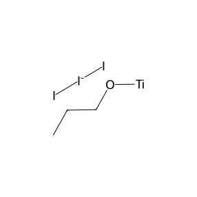 CCC[O][Ti].I[I-]I